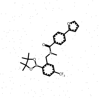 CN(Cc1cc(C(F)(F)F)ccc1B1OC(C)(C)C(C)(C)O1)C(=O)c1ccc(-c2ccco2)cc1